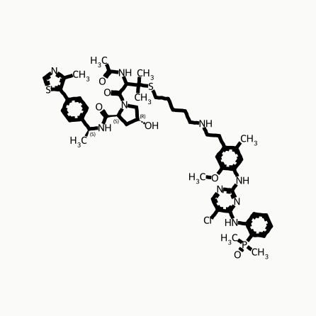 COc1cc(CCNCCCCCSC(C)(C)C(NC(C)=O)C(=O)N2C[C@H](O)C[C@H]2C(=O)N[C@@H](C)c2ccc(-c3scnc3C)cc2)c(C)cc1Nc1ncc(Cl)c(Nc2ccccc2P(C)(C)=O)n1